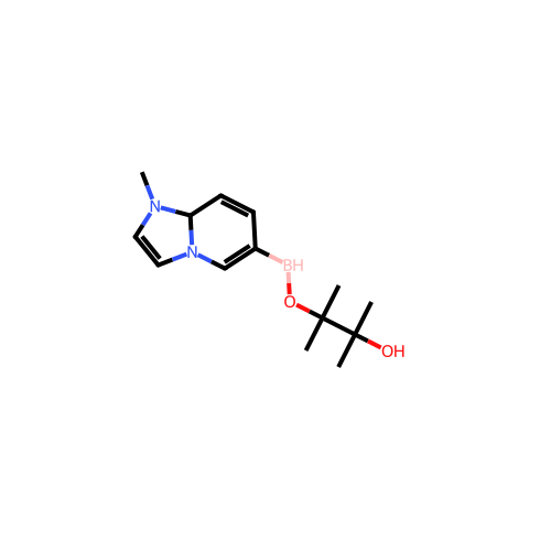 CN1C=CN2C=C(BOC(C)(C)C(C)(C)O)C=CC12